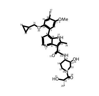 COc1cc(-c2ccnc3c(C(=O)N[C@H]4CCN(C(=O)[C@H](C)O)C[C@@H]4O)c(C)[nH]c23)c(OCC2CC2)cc1F